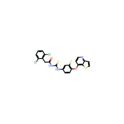 O=C(Cc1c(Cl)cccc1Cl)NC(=S)Nc1ccc(Oc2ccnc3ccsc23)c(F)c1